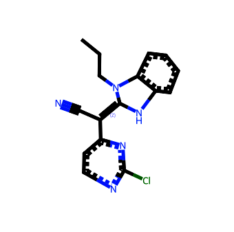 CCCN1/C(=C(\C#N)c2ccnc(Cl)n2)Nc2ccccc21